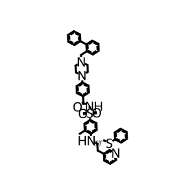 Cc1cc(S(=O)(=O)NC(=O)c2ccc(N3CCN(Cc4ccccc4-c4ccccc4)CC3)cc2)ccc1N[C@H](CSc1ccccc1)Cc1cccnc1